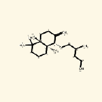 C=C1CC[C@H]2C(C)(C)CCC[C@]2(C)[C@H]1CCC(C)CCO